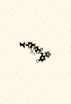 Cc1nc(N2CC3(CC3)C2)ccc1Cn1cc(C(=O)NCc2cc(Cl)ccc2-n2cnnn2)cn1